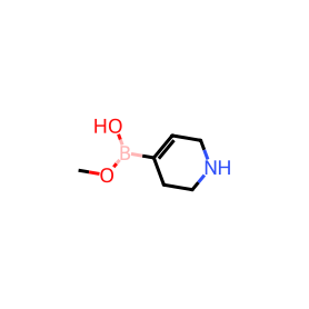 COB(O)C1=CCNCC1